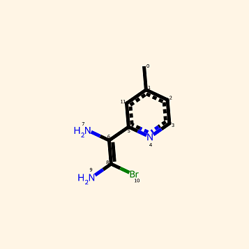 Cc1ccnc(/C(N)=C(/N)Br)c1